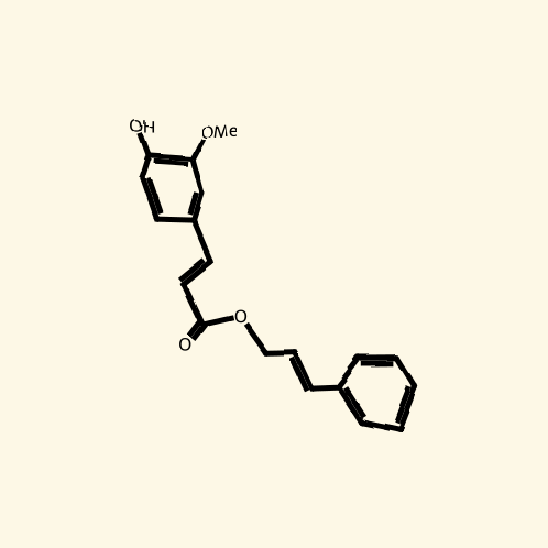 COc1cc(C=CC(=O)OCC=Cc2ccccc2)ccc1O